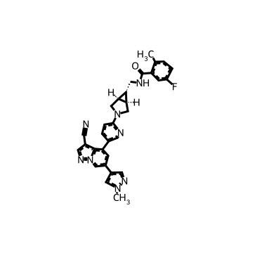 Cc1ccc(F)cc1C(=O)NC[C@@H]1[C@H]2CN(c3ccc(-c4cc(-c5cnn(C)c5)cn5ncc(C#N)c45)cn3)C[C@@H]12